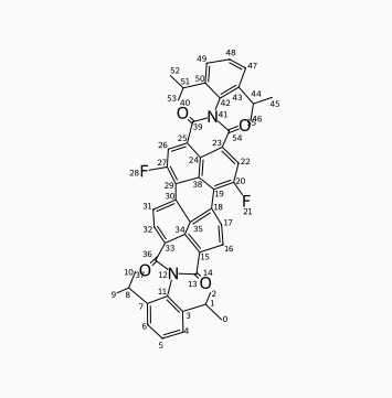 CC(C)c1cccc(C(C)C)c1N1C(=O)c2ccc3c4c(F)cc5c6c(cc(F)c(c7ccc(c2c37)C1=O)c64)C(=O)N(c1c(C(C)C)cccc1C(C)C)C5=O